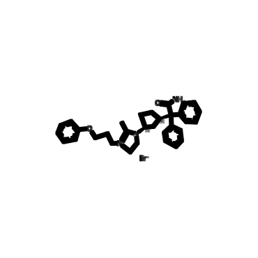 CC1=[N+](CCCOc2ccccc2)CCN1[C@H]1CC[C@@H](C(C(N)=O)(c2ccccc2)c2ccccc2)C1.[Br-]